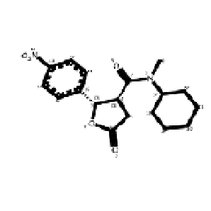 CN(C(=O)[C@H]1CC(=O)O[C@@H]1c1ccc([N+](=O)[O-])cc1)C1CCCCC1